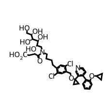 O=C(O)CCC(=O)N(CCCCc1cc(Cl)c(COC2(c3cnccc3-c3ccccc3OC3CC3)CC2)cc1Cl)C[C@@H](O)[C@H](O)[C@@H](O)[C@@H](O)CO